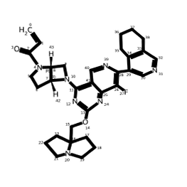 C=CC(=O)N1CC[C@@H]2[C@H]1CN2c1nc(OCC23CCCN2CCC3)nc2c(F)c(-c3cncc4c3CCCC4)ncc12